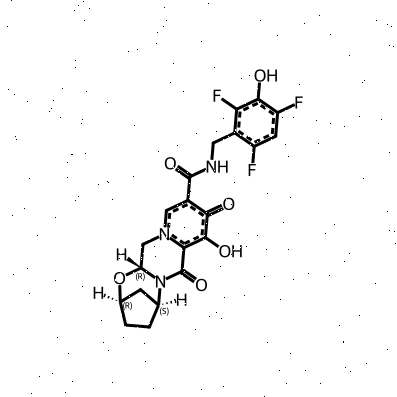 O=C(NCc1c(F)cc(F)c(O)c1F)c1cn2c(c(O)c1=O)C(=O)N1[C@H]3CC[C@H](C3)O[C@@H]1C2